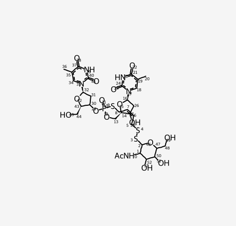 CC(=O)NC1C(SSC/C=C\CSP(=O)(OC[C@H]2O[C@@H](n3cc(C)c(=O)[nH]c3=O)CC2O)OC2C[C@H](n3cc(C)c(=O)[nH]c3=O)O[C@@H]2CO)OC(CO)C(O)C1O